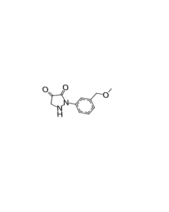 COCc1cccc(N2NCC(=O)C2=O)c1